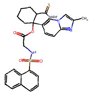 CNC(=S)C1CCCCC1(OC(=O)CNS(=O)(=O)c1cccc2ccccc12)c1ccc2nc(C)cn2c1